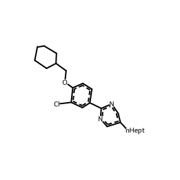 CCCCCCCc1cnc(-c2ccc(OCC3CC[CH]CC3)c(Cl)c2)nc1